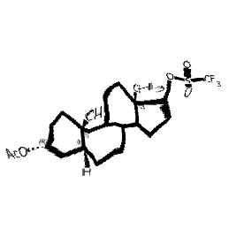 CC(=O)O[C@@H]1CC[C@]2(C)C3CC[C@]4(C)C(OS(=O)(=O)C(F)(F)F)=CCC4C3CC[C@@H]2C1